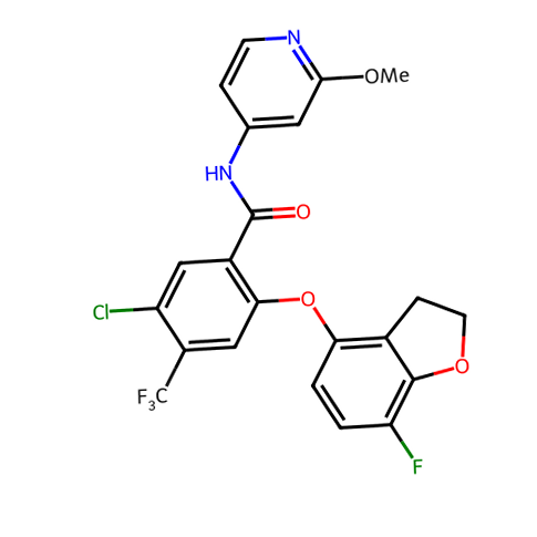 COc1cc(NC(=O)c2cc(Cl)c(C(F)(F)F)cc2Oc2ccc(F)c3c2CCO3)ccn1